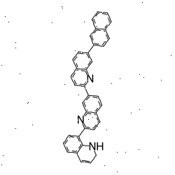 C1=Cc2cccc(-c3ccc4ccc(-c5ccc6ccc(-c7ccc8ccccc8c7)cc6n5)cc4n3)c2NC1